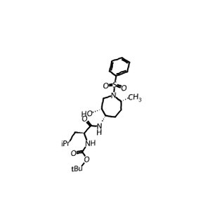 CC(C)C[C@H](NC(=O)OC(C)(C)C)C(=O)N[C@H]1CC[C@@H](C)N(S(=O)(=O)c2ccccc2)C[C@H]1O